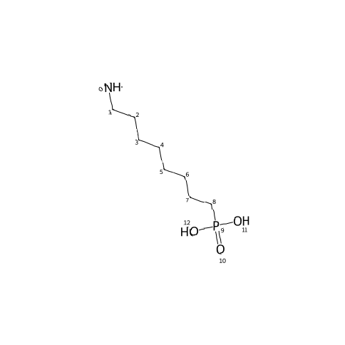 [NH]CCCCCCCCP(=O)(O)O